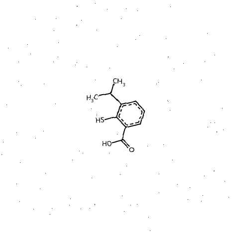 CC(C)c1cccc(C(=O)O)c1S